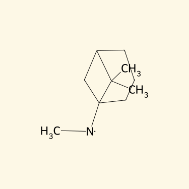 C[N]C12CCCC(C1)C2(C)C